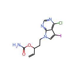 C=CC(CCn1cc(I)c2c(Cl)ncnc21)OC(N)=O